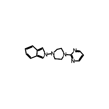 c1cnc(N2CCN(n3cc4ccccc4c3)CC2)nc1